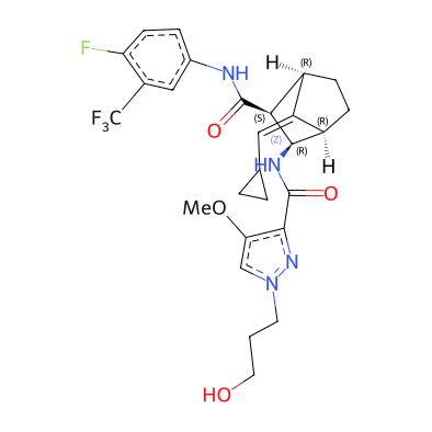 COc1cn(CCCO)nc1C(=O)N[C@H]1[C@@H](C(=O)Nc2ccc(F)c(C(F)(F)F)c2)[C@H]2CC[C@@H]1/C2=C\C1CC1